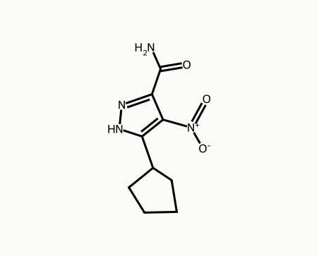 NC(=O)c1n[nH]c(C2CCCC2)c1[N+](=O)[O-]